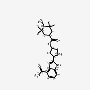 CC1(C)CC(C(=O)OC2CNC(c3nc4c(C(N)=O)cccc4[nH]3)C2)CC(C)(C)N1O